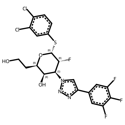 OCC[C@H]1O[C@H](Sc2ccc(Cl)c(Cl)c2)[C@H](F)[C@@H](n2cc(-c3cc(F)c(F)c(F)c3)nn2)[C@H]1O